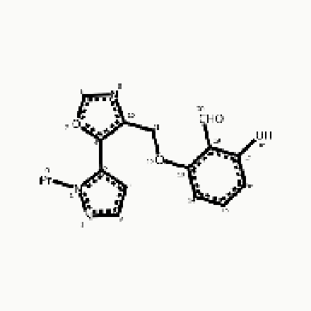 CC(C)n1nccc1-c1ocnc1COc1cccc(O)c1C=O